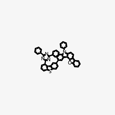 c1ccc(-c2nc(-c3ccccc3)nc(-c3cccc4sc5ccc(-c6ccc7c(c6)c6c8oc9ccccc9c8ccc6n7-c6ccccc6)cc5c34)n2)cc1